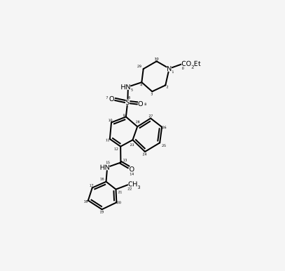 CCOC(=O)N1CCC(NS(=O)(=O)c2ccc(C(=O)Nc3ccccc3C)c3ccccc23)CC1